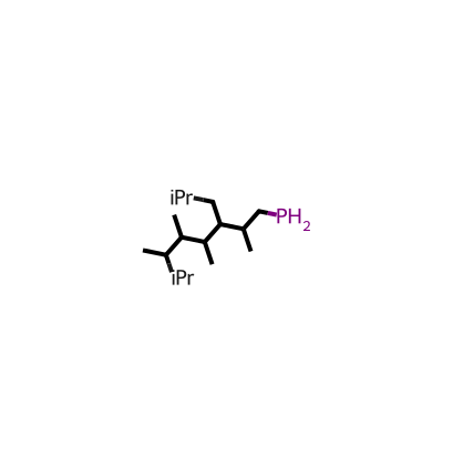 CC(C)CC(C(C)CP)C(C)C(C)C(C)C(C)C